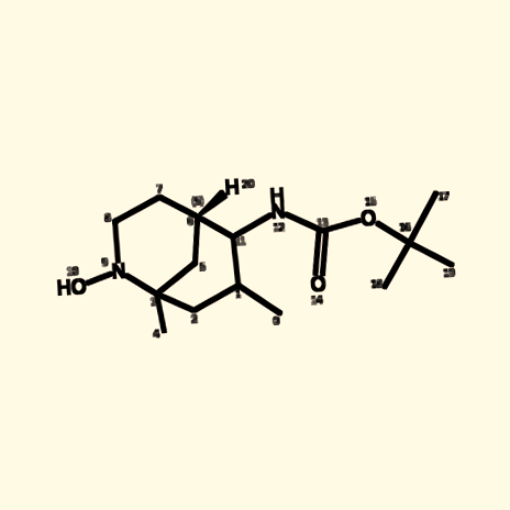 CC1CC2(C)C[C@H](CCN2O)C1NC(=O)OC(C)(C)C